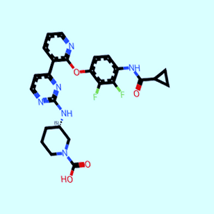 O=C(Nc1ccc(Oc2ncccc2-c2ccnc(N[C@H]3CCCN(C(=O)O)C3)n2)c(F)c1F)C1CC1